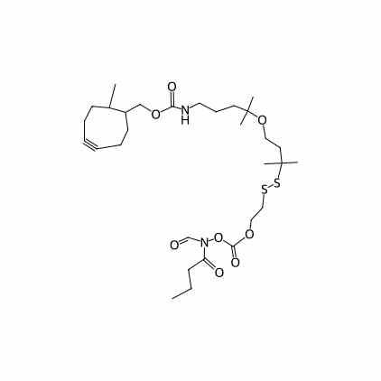 CCCC(=O)N(C=O)OC(=O)OCCSSC(C)(C)CCOC(C)(C)CCCNC(=O)OCC1CCC#CCCC1C